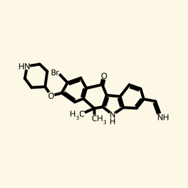 CC1(C)c2cc(OC3CCNCC3)c(Br)cc2C(=O)c2c1[nH]c1cc(C=N)ccc21